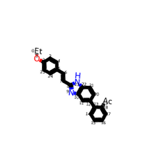 CCOc1ccc(/C=C/c2nc3cc(-c4ccccc4C(C)=O)ccc3[nH]2)cc1